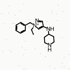 CC[N+]1(Cc2ccccc2)C=C(NC2CCNCC2)C=N1